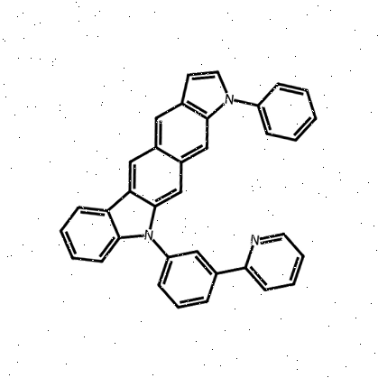 c1ccc(-n2ccc3cc4cc5c6ccccc6n(-c6cccc(-c7ccccn7)c6)c5cc4cc32)cc1